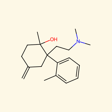 C=C1CCC(C)(O)C(CCN(C)C)(c2ccccc2C)C1